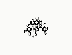 N#Cc1cnc2c(Cl)cc(N[C@H](C3=CN(CCO)NN3)c3cc(Br)cnc3Cl)cc2c1Nc1ccc(F)c(Cl)c1